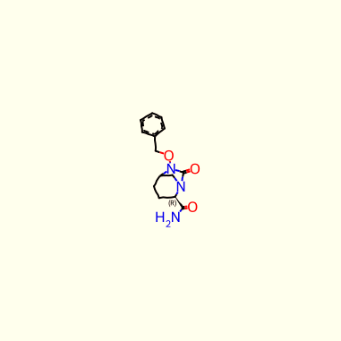 NC(=O)[C@H]1CCC2CN1C(=O)N2OCc1ccccc1